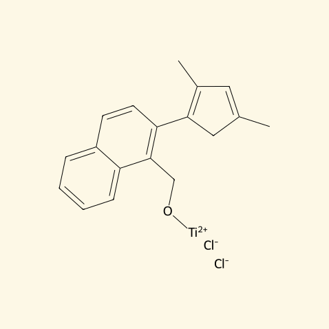 CC1=CC(C)=C(c2ccc3ccccc3c2C[O][Ti+2])C1.[Cl-].[Cl-]